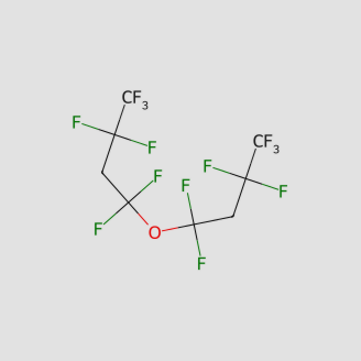 FC(F)(CC(F)(F)C(F)(F)F)OC(F)(F)CC(F)(F)C(F)(F)F